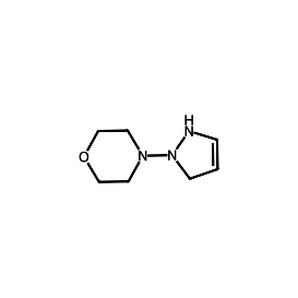 C1=CNN(N2CCOCC2)C1